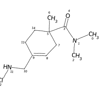 CN(C)C(=O)C1(C)CC=C(CNCl)CC1